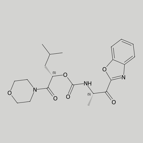 CC(C)C[C@H](OC(=O)N[C@@H](C)C(=O)c1nc2ccccc2o1)C(=O)N1CCOCC1